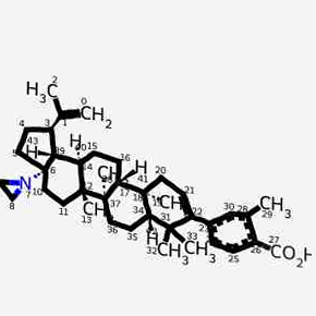 C=C(C)[C@@H]1CC[C@]2(N3CC3)CC[C@]3(C)[C@H](CC[C@@H]4[C@@]5(C)CC=C(c6ccc(C(=O)O)c(C)c6)C(C)(C)[C@@H]5CC[C@]43C)[C@@H]12